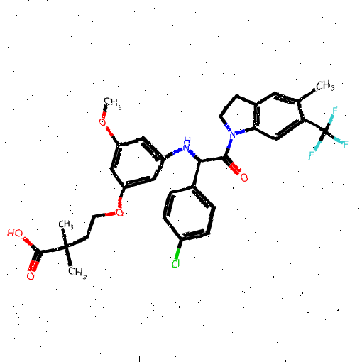 COc1cc(NC(C(=O)N2CCc3cc(C)c(C(F)(F)F)cc32)c2ccc(Cl)cc2)cc(OCCC(C)(C)C(=O)O)c1